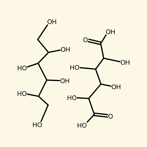 O=C(O)C(O)C(O)C(O)C(O)C(=O)O.OCC(O)C(O)C(O)C(O)CO